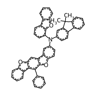 CC1(C)c2ccccc2-c2ccc(N(c3ccc4oc5c(-c6ccccc6)c6c(cc5c4c3)oc3ccccc36)c3cccc4c3oc3ccccc34)cc21